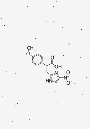 COc1ccc([C@@H](Cc2nc([N+](=O)[O-])c[nH]2)C(=O)O)cc1